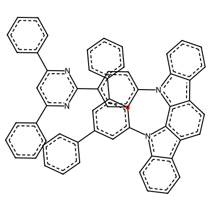 c1ccc(-c2cc(-c3ccccc3)cc(-n3c4ccccc4c4ccc5c6ccccc6n(-c6ccc(-c7nc(-c8ccccc8)cc(-c8ccccc8)n7)cc6)c5c43)c2)cc1